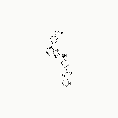 COc1ccc(-c2cccc3nc(Nc4ccc(C(=O)Nc5cccnc5)cc4)nn23)cc1